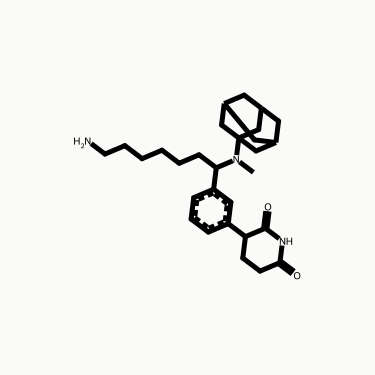 CN(C(CCCCCCN)c1cccc(C2CCC(=O)NC2=O)c1)C12CC3CC(CC(C3)C1)C2